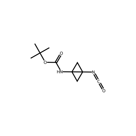 CC(C)(C)OC(=O)NC12CC1(N=C=O)C2